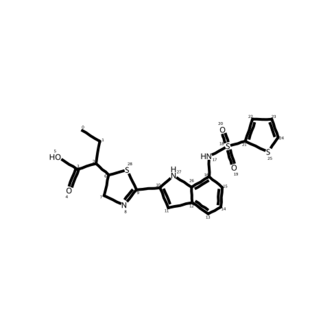 CCC(C(=O)O)C1CN=C(c2cc3cccc(NS(=O)(=O)c4cccs4)c3[nH]2)S1